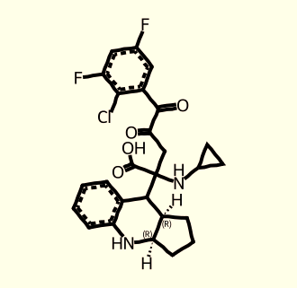 O=C(CC(NC1CC1)(C(=O)O)C1c2ccccc2N[C@@H]2CCC[C@H]12)C(=O)c1cc(F)cc(F)c1Cl